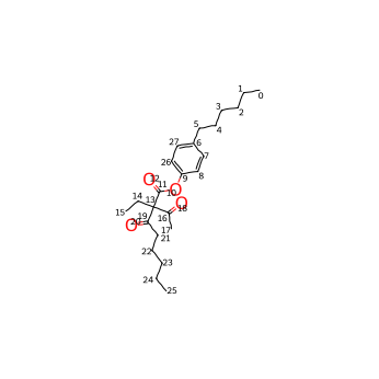 CCCCCCc1ccc(OC(=O)C(CC)(C(C)=O)C(=O)CCCCC)cc1